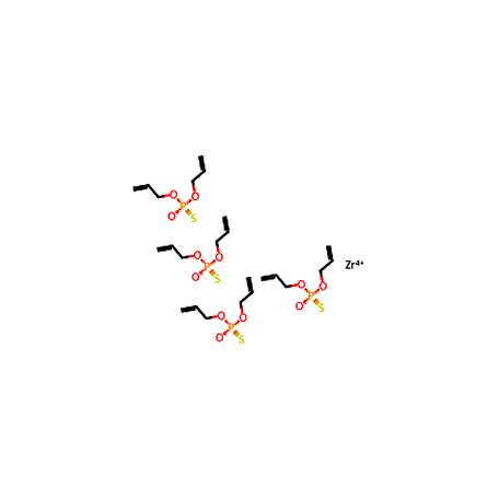 C=CCOP([O-])(=S)OCC=C.C=CCOP([O-])(=S)OCC=C.C=CCOP([O-])(=S)OCC=C.C=CCOP([O-])(=S)OCC=C.[Zr+4]